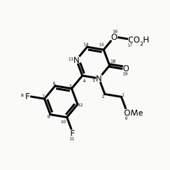 COCCn1c(-c2cc(F)cc(F)c2)ncc(OC(=O)O)c1=O